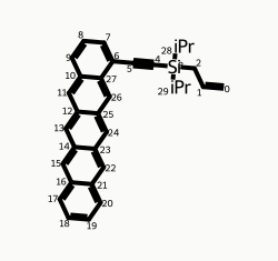 C=CC[Si](C#Cc1cccc2cc3cc4cc5ccccc5cc4cc3cc12)(C(C)C)C(C)C